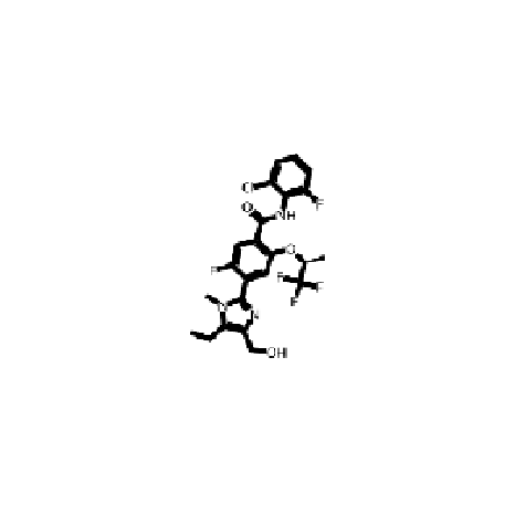 CCc1c(CO)nc(-c2cc(O[C@@H](C)C(F)(F)F)c(C(=O)Nc3c(F)cccc3Cl)cc2F)n1C